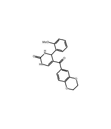 COc1ccccc1C1NC(=O)NC=C1C(=O)c1ccc2c(c1)OCCO2